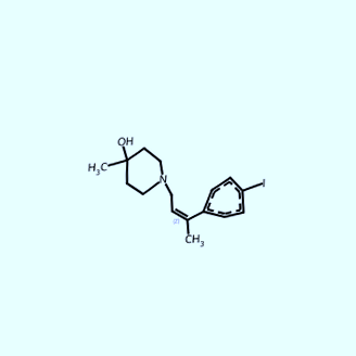 C/C(=C/CN1CCC(C)(O)CC1)c1ccc(I)cc1